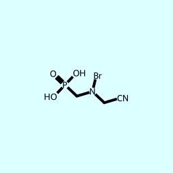 N#CCN(Br)CP(=O)(O)O